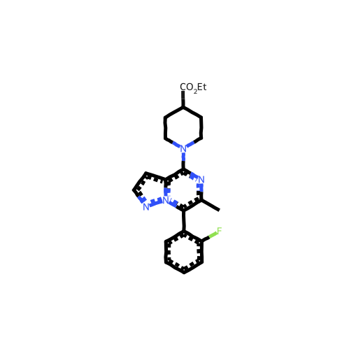 CCOC(=O)C1CCN(c2nc(C)c(-c3ccccc3F)n3nccc23)CC1